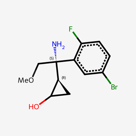 COC[C@@](N)(c1cc(Br)ccc1F)[C@H]1CC1O